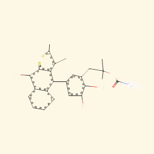 Cc1sc2c(Br)c3ccccc3c(-c3cc(Br)c(O)c(CC(C)(C)OC(N)=O)c3)c2c1C